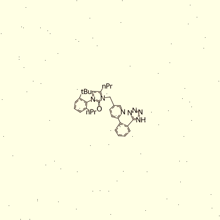 CCCc1cccc(C(C)(C)C)c1-n1cc(CCC)n(Cc2ccc(-c3ccccc3-c3nnn[nH]3)nc2)c1=O